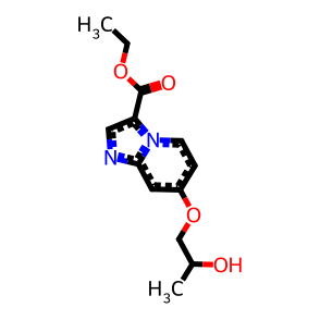 CCOC(=O)c1cnc2cc(OCC(C)O)ccn12